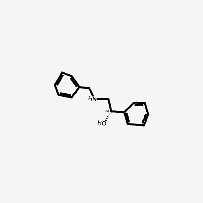 O[C@H](CNCc1ccccc1)c1ccccc1